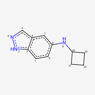 c1cc2[nH]ncc2cc1NC1CCC1